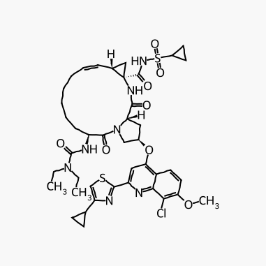 CCN(CC)C(=O)N[C@H]1CCCCCC=C[C@@H]2C[C@@]2(C(=O)NS(=O)(=O)C2CC2)NC(=O)[C@@H]2C[C@@H](Oc3cc(-c4nc(C5CC5)cs4)nc4c(Cl)c(OC)ccc34)CN2C1=O